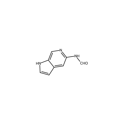 O=CNc1cc2cc[nH]c2cn1